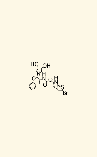 O=C(N[C@@H](Cc1ccccc1)C(=O)N1C[C@@H](O)[C@@H](O)C1)Oc1cc2cc(Br)sc2[nH]1